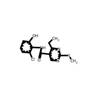 CCc1nc(SC)ncc1C(=O)Nc1c(O)cccc1Cl